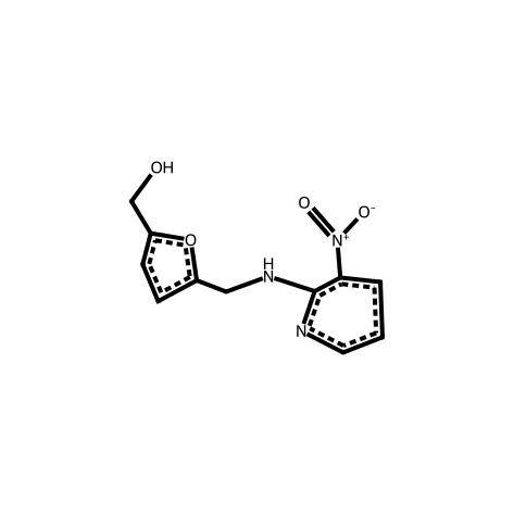 O=[N+]([O-])c1cccnc1NCc1ccc(CO)o1